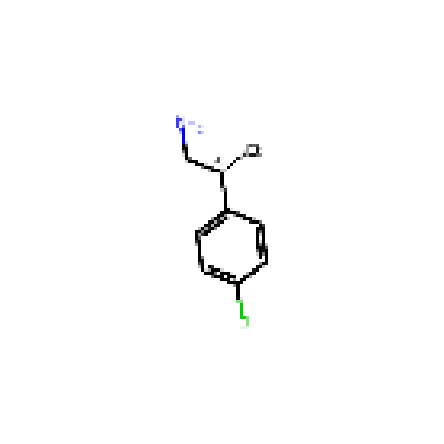 CC[C@@H](CN)c1ccc(Cl)cc1